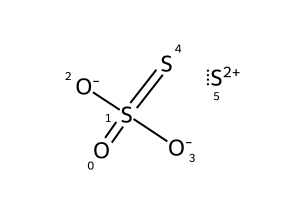 O=S([O-])([O-])=S.[S+2]